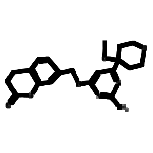 COC1(c2cc(OCc3ccc4c(c3)OC(=O)CC4)nc(N)n2)CCOCC1